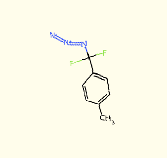 Cc1ccc(C(F)(F)N=[N+]=[N-])cc1